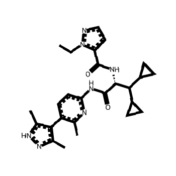 CCn1nccc1C(=O)N[C@@H](C(=O)Nc1ccc(-c2c(C)n[nH]c2C)c(C)n1)C(C1CC1)C1CC1